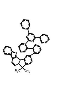 CC1(C)c2ccc(-c3ccccc3-c3ccccc3-c3nc(-c4ccccc4)cc(-c4ccccc4)n3)cc2C2c3oc4ccccc4c3C=CC21